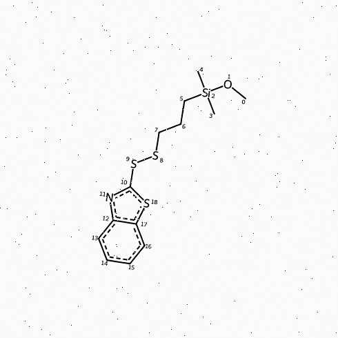 CO[Si](C)(C)CCCSSc1nc2ccccc2s1